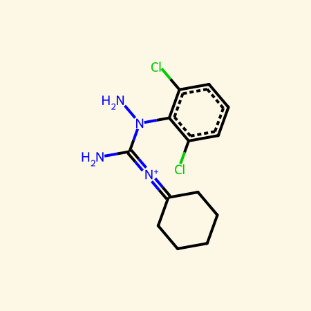 NC(=[N+]=C1CCCCC1)N(N)c1c(Cl)cccc1Cl